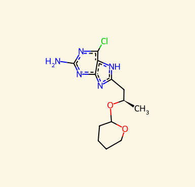 C[C@H](Cc1nc2nc(N)nc(Cl)c2[nH]1)OC1CCCCO1